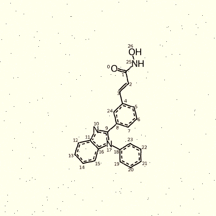 O=C(C=Cc1cccc(-c2nc3ccccc3n2-c2ccccc2)c1)NO